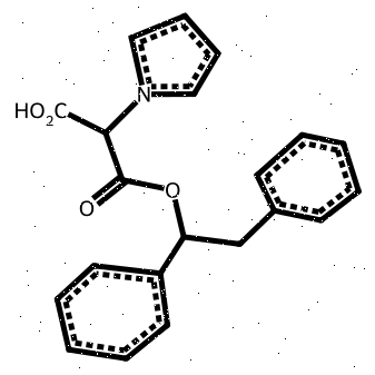 O=C(O)C(C(=O)OC(Cc1ccccc1)c1ccccc1)n1cccc1